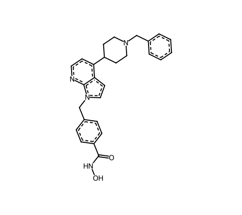 O=C(NO)c1ccc(Cn2ccc3c(C4CCN(Cc5ccccc5)CC4)ccnc32)cc1